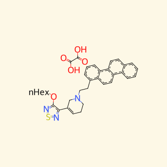 CCCCCCOc1nsnc1C1=CCCN(CCc2cccc3c2ccc2c4ccccc4ccc32)C1.O=C(O)C(=O)O